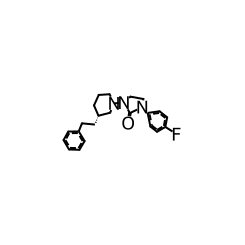 O=C1N(c2ccc(F)cc2)CCN1N1CCC[C@@H](CCc2ccccc2)C1